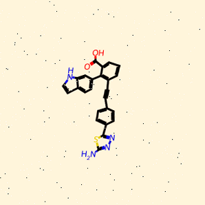 Nc1nnc(-c2ccc(C#Cc3cccc(C(=O)O)c3-c3ccc4cc[nH]c4c3)cc2)s1